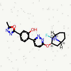 Cc1nnc(-c2ccc(-c3ccc(O[C@@H]4C[C@H]5CCC[C@H](N5)[C@@H]4F)nn3)c(O)c2)o1